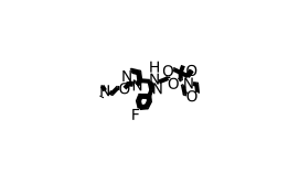 CN(C)CCOc1nccc(-c2[nH]c(C3OCC(C)(C(=O)N4CCOCC4)CO3)nc2-c2ccc(F)cc2)n1